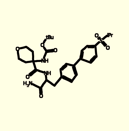 CC(C)S(=O)(=O)c1ccc(-c2ccc(CC(NC(=O)C3(NC(=O)OC(C)(C)C)CCOCC3)C(N)=O)cc2)cc1